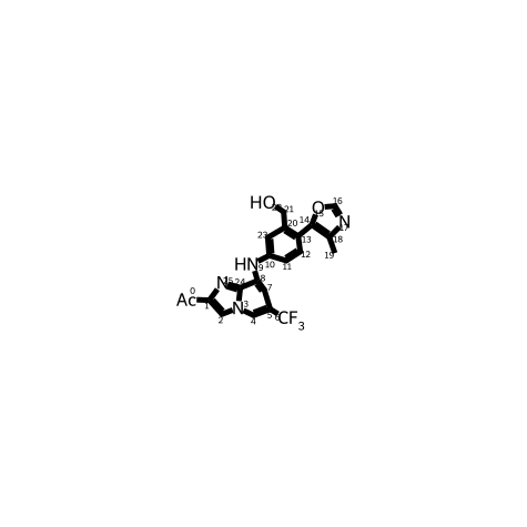 CC(=O)c1cn2cc(C(F)(F)F)cc(Nc3ccc(-c4ocnc4C)c(CO)c3)c2n1